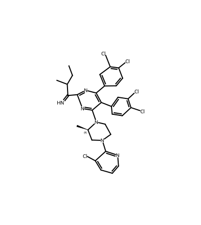 CCC(C)C(=N)c1nc(-c2ccc(Cl)c(Cl)c2)c(-c2ccc(Cl)c(Cl)c2)c(N2CCN(c3ncccc3Cl)C[C@H]2C)n1